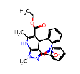 CCOC(=O)C1=C(C)Nc2c(c(-c3ccccc3)nn2C)C1c1ccccc1[N+](=O)[O-]